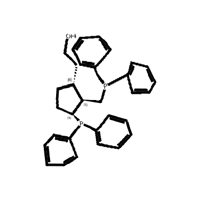 OCC[C@H]1CC[C@H](P(c2ccccc2)c2ccccc2)[C@@H]1CP(c1ccccc1)c1ccccc1